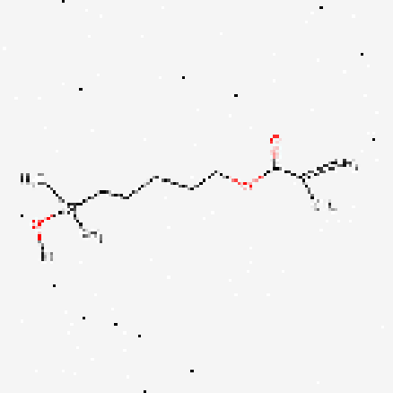 C=C(C)C(=O)OCCCCC[Si](C)(C)OCC